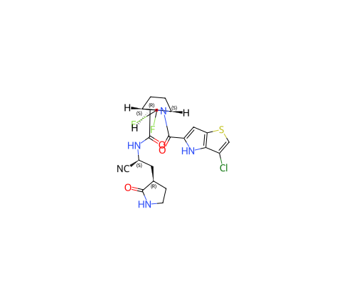 N#C[C@H](C[C@H]1CCNC1=O)NC(=O)[C@H]1[C@@H]2CC[C@@H](CC2(F)F)N1C(=O)c1cc2scc(Cl)c2[nH]1